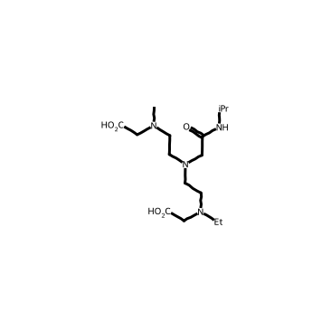 CCN(CCN(CCN(C)CC(=O)O)CC(=O)NC(C)C)CC(=O)O